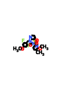 COc1cc(F)c(CN2C(=O)N(c3ccc(C)c(OC)n3)S(=O)(=O)c3cccnc32)c(F)c1